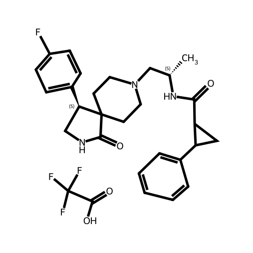 C[C@@H](CN1CCC2(CC1)C(=O)NC[C@H]2c1ccc(F)cc1)NC(=O)C1CC1c1ccccc1.O=C(O)C(F)(F)F